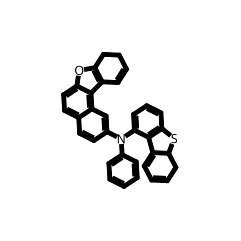 C1=CCC2Sc3cccc(N(c4ccccc4)c4ccc5ccc6oc7c(c6c5c4)C=CCC7)c3C2=C1